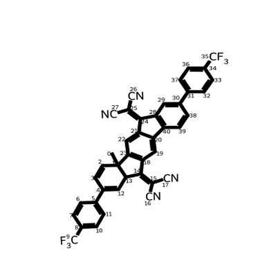 CC12C=CC(c3ccc(C(F)(F)F)cc3)=CC1C(=C(C#N)C#N)c1cc3c(cc12)C(=C(C#N)C#N)c1cc(-c2ccc(C(F)(F)F)cc2)ccc1-3